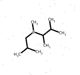 CB(CC(C)C)C(C)C(C)C